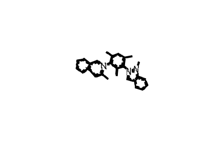 Cc1cc(C)c(-[n+]2cc3ccccc3n2C)c(C)c1-[n+]1cc2ccccc2cc1C